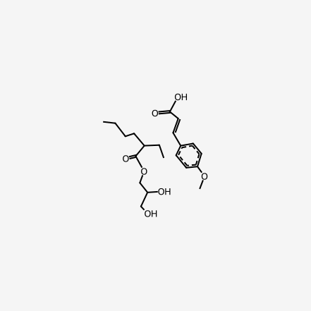 CCCCC(CC)C(=O)OCC(O)CO.COc1ccc(C=CC(=O)O)cc1